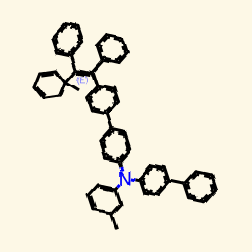 CC1C=CC=C(N(c2ccc(-c3ccccc3)cc2)c2ccc(-c3ccc(/C(=C(/c4ccccc4)C4(C)C=CC=CC4)c4ccccc4)cc3)cc2)C1